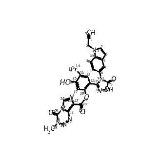 C#CCn1ccc2cc(-n3c(-c4cc(C(C)C)c(O)cc4OC(=O)c4ncn5c(=O)n(C)nnc45)n[nH]c3=O)ccc21